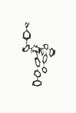 N#Cc1ccc(-c2cccc(-c3nc(-c4ccc(-c5ccc(-c6ccccc6)cc5)cc4)nc(-c4cccc(-c5ccccc5)c4-c4ccc(-c5ccccc5)cc4)n3)c2)cc1